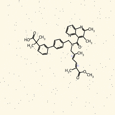 COC(=O)/C(C)=C/C=C(\C)CN(Cc1ccc(-c2cccc(C(C)(C)C(=O)O)c2)cc1)C(=O)c1c(C)c(C)nc2cccnc12